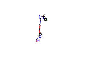 Cc1sc2c(c1C)C(c1ccc(Cl)cc1)=N[C@@H](CC(=O)NCCCOCCCOc1ccc3ncc(N4CCC(=O)NC4=O)cc3c1)c1nnc(C)n1-2